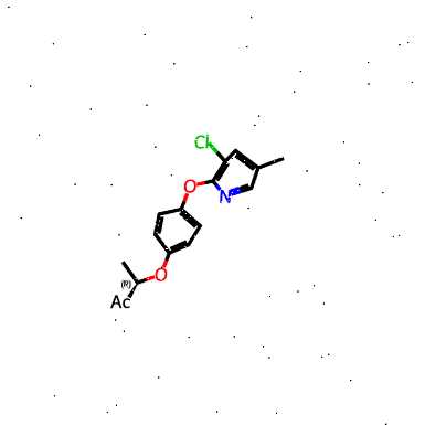 CC(=O)[C@@H](C)Oc1ccc(Oc2ncc(C)cc2Cl)cc1